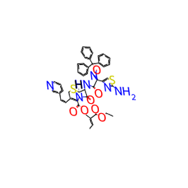 C/C=C(\COC(=O)C1=C(/C=C\c2cccnc2)CS[C@H]2[C@H](NC(=O)C(=NOC(c3ccccc3)(c3ccccc3)c3ccccc3)c3csc(N)n3)C(=O)N12)C(=O)OCC